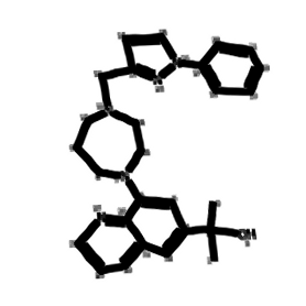 CC(C)(O)c1cc(N2CCCN(Cc3ccn(-c4ccccc4)n3)CC2)c2ncccc2c1